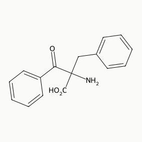 NC(Cc1ccccc1)(C(=O)O)C(=O)c1ccccc1